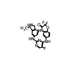 CN1NCc2ccc(Nc3ncc(F)c(Nc4ccc5c(c4)NC(=O)C(F)(F)O5)n3)cc21